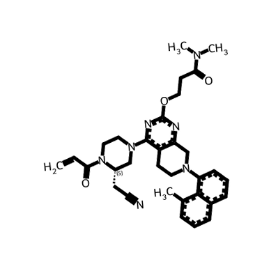 C=CC(=O)N1CCN(c2nc(OCCC(=O)N(C)C)nc3c2CCN(c2cccc4cccc(C)c24)C3)C[C@@H]1CC#N